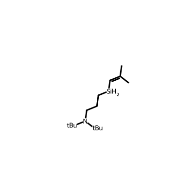 CC(C)=C[SiH2]CCCN(C(C)(C)C)C(C)(C)C